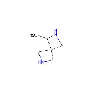 CC(C)(C)C1NCC12CNC2